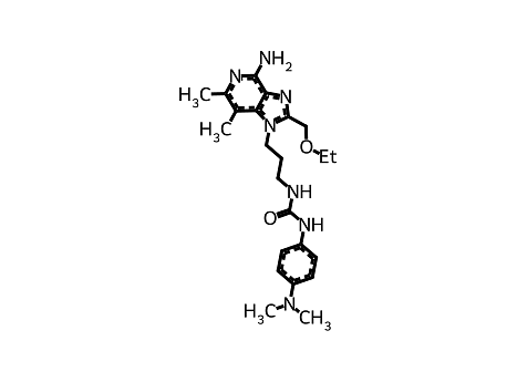 CCOCc1nc2c(N)nc(C)c(C)c2n1CCCNC(=O)Nc1ccc(N(C)C)cc1